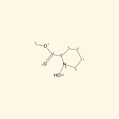 COC(=O)C1CCCCN1O